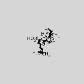 CN(C)CCCC[C@H](NC(=O)[C@H](CS)NC(=O)C(C)(C)CS)C(=O)O